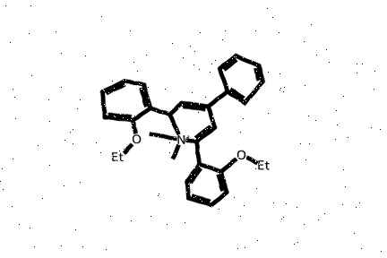 CCOc1ccccc1C1=CC(c2ccccc2)=CC(c2ccccc2OCC)[N+]1(C)C